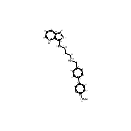 COc1ccc(-c2ccc(CNCCCNc3nsc4cccnc34)cc2)cc1